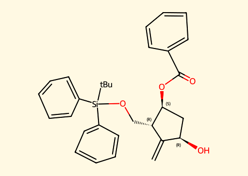 C=C1[C@H](O)C[C@H](OC(=O)c2ccccc2)[C@H]1CO[Si](c1ccccc1)(c1ccccc1)C(C)(C)C